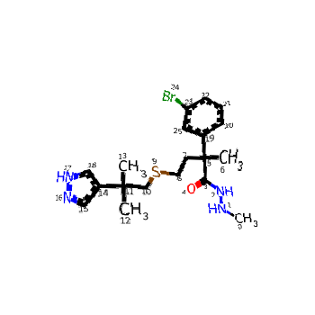 CNNC(=O)C(C)(CCSCC(C)(C)c1cn[nH]c1)c1cccc(Br)c1